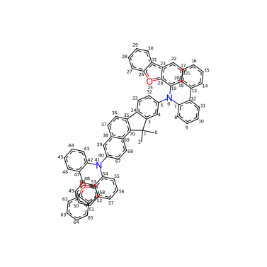 CC1(C)c2cc(N(c3ccccc3-c3ccccc3)c3cccc4c3oc3ccccc34)ccc2-c2ccc3cc(N(c4ccccc4-c4ccccc4)c4cccc5c4oc4ccccc45)ccc3c21